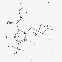 CCOC(=O)c1c(I)c(C(C)(C)C)nn1CC1(C)CC(F)(F)C1